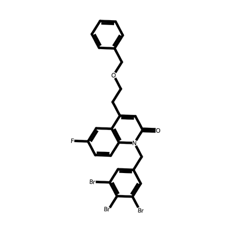 O=c1cc(CCOCc2ccccc2)c2cc(F)ccc2n1Cc1cc(Br)c(Br)c(Br)c1